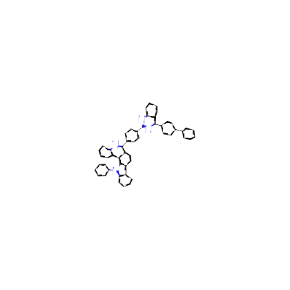 c1ccc(-c2ccc(-c3nc(-c4ccc(-c5nc6ccccc6c6c5ccc5c7ccccc7n(-c7ccccc7)c56)cc4)nc4ccccc34)cc2)cc1